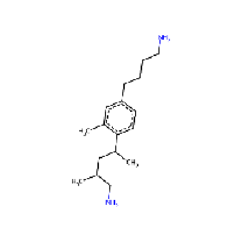 Cc1cc(CCCCN)ccc1C(C)CC(C)CN